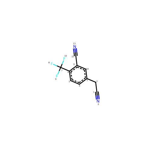 N#CCc1ccc(C(F)(F)F)c(C#N)c1